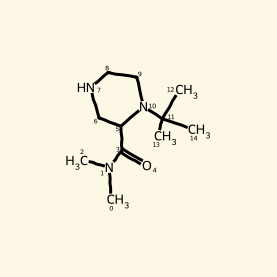 CN(C)C(=O)C1CNCCN1C(C)(C)C